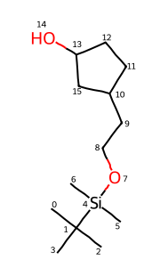 CC(C)(C)[Si](C)(C)OCCC1CCC(O)C1